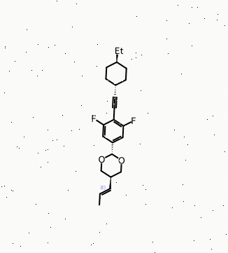 C/C=C/[C@H]1CO[C@H](c2cc(F)c(C#C[C@H]3CC[C@H](CC)CC3)c(F)c2)OC1